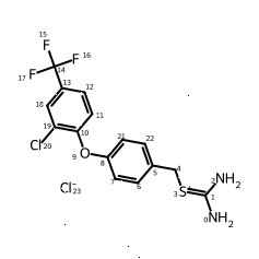 NC(N)=[S+]Cc1ccc(Oc2ccc(C(F)(F)F)cc2Cl)cc1.[Cl-]